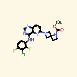 CC(C)(C)OC(=O)N1CCC12CN(c1ccc3ncnc(Nc4ccc(F)c(Cl)c4F)c3n1)C2